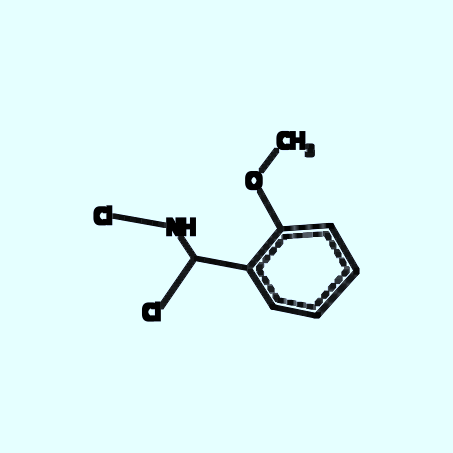 COc1ccccc1C(Cl)NCl